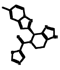 Cc1ccn2nc([C@H]3c4nc[nH]c4CCN3C(=O)c3cnco3)cc2c1